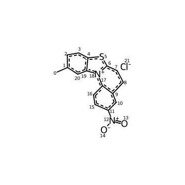 Cc1ccc2sc3ccc4cc([N+](=O)[O-])ccc4[n+]3c2c1.[Cl-]